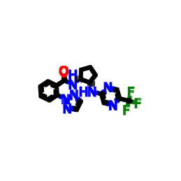 O=C(N[C@@H]1CCC[C@@H]1Nc1cnc(C(F)(F)F)cn1)c1ccccc1-n1nccn1